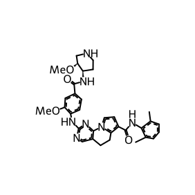 COc1cc(C(=O)N[C@@H]2CCNC[C@@H]2OC)ccc1Nc1ncc2c(n1)-n1ccc(C(=O)Nc3c(C)cccc3C)c1CC2